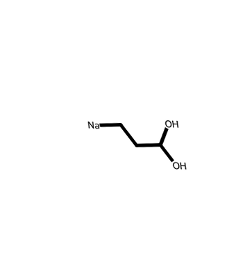 OC(O)C[CH2][Na]